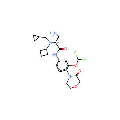 NC[C@@H](C(=O)Nc1ccc(N2CCOCC2=O)c(OC(F)F)c1)N(CC1CC1)C1CCC1